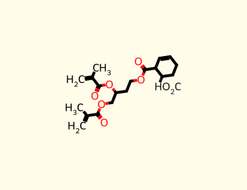 C=C(C)C(=O)OCC(CCOC(=O)C1C=CCCC1C(=O)O)OC(=O)C(=C)C